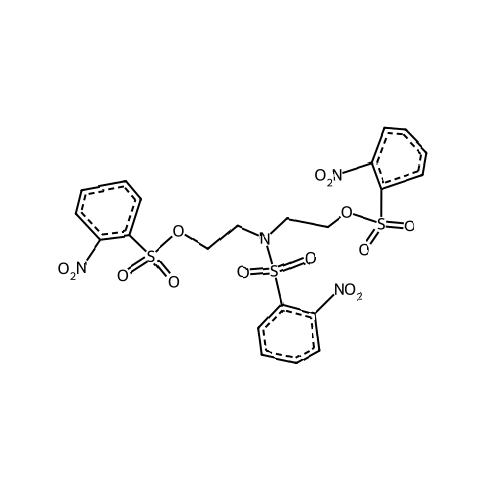 O=[N+]([O-])c1ccccc1S(=O)(=O)OCCN(CCOS(=O)(=O)c1ccccc1[N+](=O)[O-])S(=O)(=O)c1ccccc1[N+](=O)[O-]